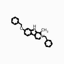 Cc1c2[nH]c3cc(OCc4ccccc4)ccc3c2cc[n+]1Cc1ccccc1